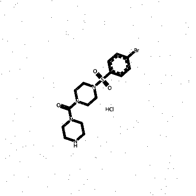 Cl.O=C(N1CCNCC1)N1CCN(S(=O)(=O)c2ccc(Br)cc2)CC1